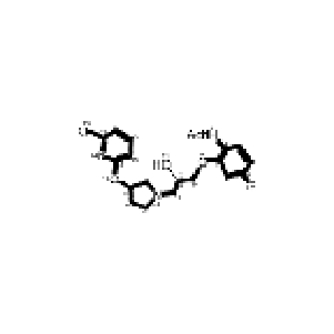 CC(=O)Nc1ccc(F)cc1OC[C@@H](O)CN1CCC(Oc2cccc(Cl)n2)C1